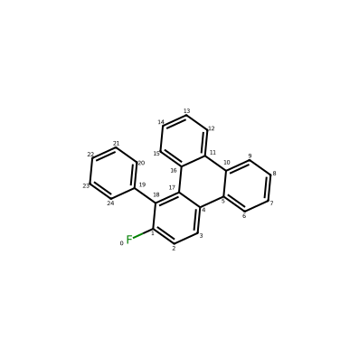 Fc1ccc2c3ccccc3c3ccccc3c2c1-c1ccccc1